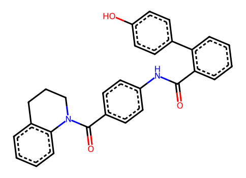 O=C(Nc1ccc(C(=O)N2CCCc3ccccc32)cc1)c1ccccc1-c1ccc(O)cc1